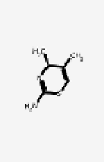 CC1=CSC(N)=N[C@H]1C